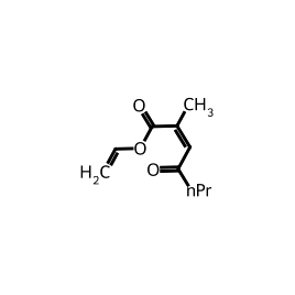 C=COC(=O)C(C)=CC(=O)CCC